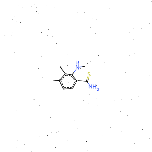 CNc1c(C(N)=S)ccc(C)c1C